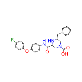 O=C(Nc1ccc(Oc2ccc(F)cc2)cc1)C1CN(C(=O)O)CC(Cc2ccccc2)N1